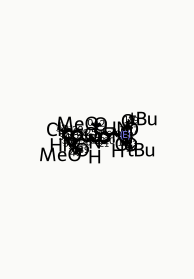 COC(=O)Cc1cc(CN/C(=N\C(=O)OC(C)(C)C)NC(=O)OC(C)(C)C)ccc1NC(=O)CC1CCc2cc(Cl)cc3[nH]c(C(=O)OC)c1c23